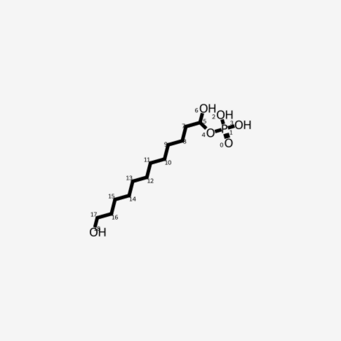 O=P(O)(O)OC(O)CCCCCCCCCCCO